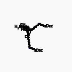 CCCCCCCCCCCCC/C=C\CCCCCCCC(=O)OC[C@H](COP(=O)(O)OCC[N+](C)(C)C)OC(=O)CCCCCCC/C=C\CCCCCCCCCCCCC